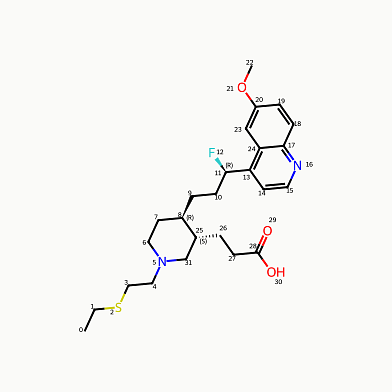 CCSCCN1CC[C@@H](CC[C@@H](F)c2ccnc3ccc(OC)cc23)[C@H](CCC(=O)O)C1